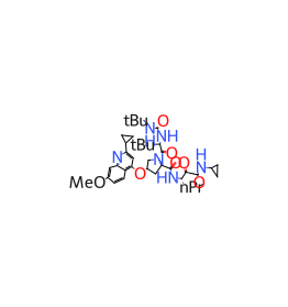 CCC[C@H](NC(=O)C1C[C@@H](Oc2cc(C3CC3)nc3cc(OC)ccc23)CN1C(=O)C(NC(=O)NC(C)(C)C)C(C)(C)C)C(=O)C(=O)NC1CC1